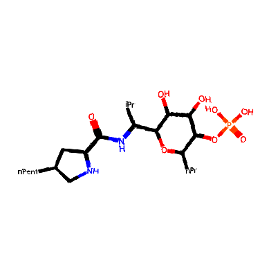 CCCCCC1CNC(C(=O)NC(C(C)C)C2OC(CCC)C(OP(=O)(O)O)C(O)C2O)C1